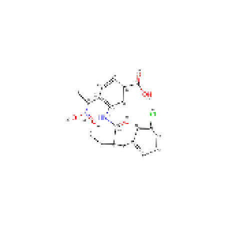 CCC(Cc1cccc(Cl)c1)C(=O)Nc1cc(C(=O)O)ccc1C(C)[N+](=O)[O-]